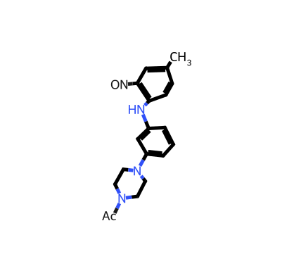 CC(=O)N1CCN(c2cccc(Nc3ccc(C)cc3N=O)c2)CC1